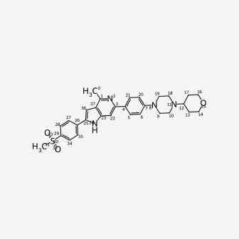 Cc1nc(-c2ccc(N3CCN(C4CCOCC4)CC3)cc2)cc2[nH]c(-c3ccc(S(C)(=O)=O)cc3)cc12